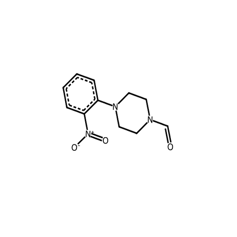 O=CN1CCN(c2ccccc2[N+](=O)[O-])CC1